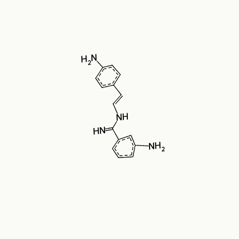 N=C(N/C=C/c1ccc(N)cc1)c1cccc(N)c1